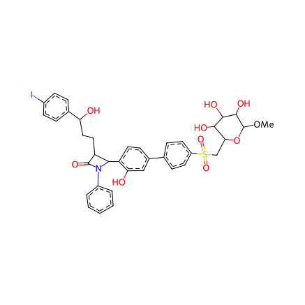 COC1OC(CS(=O)(=O)c2ccc(-c3ccc(C4C(CCC(O)c5ccc(I)cc5)C(=O)N4c4ccccc4)c(O)c3)cc2)C(O)C(O)C1O